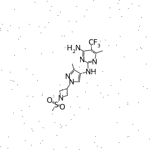 Cc1nn(C2CN(S(C)(=O)=O)C2)cc1Nc1nc(C)c(C(F)(F)F)c(N)n1